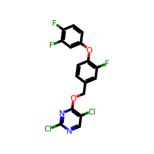 Fc1ccc(Oc2ccc(COc3nc(Cl)ncc3Cl)cc2F)cc1F